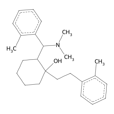 Cc1ccccc1CCC1(O)CCCCC1C(c1ccccc1C)N(C)C